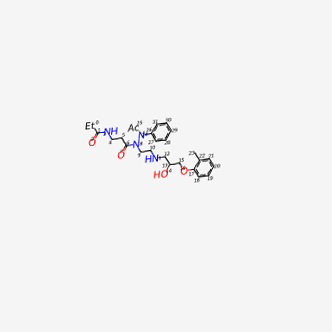 CCC(=O)NCCC(=O)N(CCNCC(O)COc1ccccc1C)N(C(C)=O)c1ccccc1